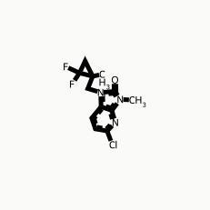 Cn1c(=O)n(CC2(C)CC2(F)F)c2ccc(Cl)nc21